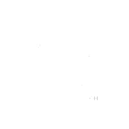 COc1cc(F)c(C(C)(C)O)cc1C